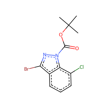 CC(C)(C)OC(=O)n1nc(Br)c2cccc(Cl)c21